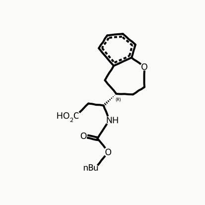 CCCCOC(=O)NC(CC(=O)O)[C@H]1CCOc2ccccc2C1